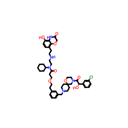 O=C1COc2c(CCNCCN(C(=O)CCOCCc3cccc(CN4CCC5(CC4)CN(C(=O)[C@H](O)c4cccc(Cl)c4)CCO5)c3)C3CCCCC3)ccc(O)c2N1